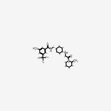 Cc1cc(C(=O)NC[C@H]2CC[C@@H](NCC(=O)N3CCCCC3C)CC2)cc(C(F)(F)F)c1